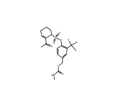 CNC(=O)OCc1ccc(OS(=O)(=O)C2CCCC=C2C(C)=O)c(C(F)(F)F)c1